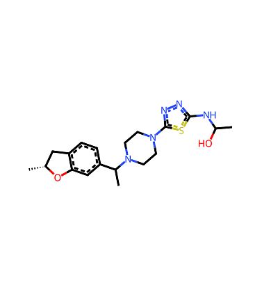 CC(O)Nc1nnc(N2CCN(C(C)c3ccc4c(c3)O[C@H](C)C4)CC2)s1